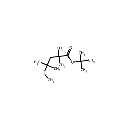 COC(C)(C)CC(C)(C)C(=O)OC(C)(C)C